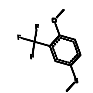 COc1ccc(SC)cc1C(F)(F)F